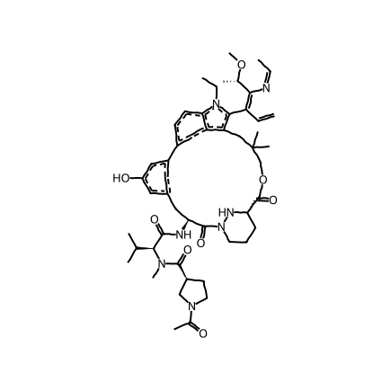 C=C/C(=C(\N=C/C)[C@H](C)OC)c1c2c3cc(ccc3n1CC)-c1cc(O)cc(c1)C[C@H](NC(=O)[C@H](C(C)C)N(C)C(=O)[C@H]1CCN(C(C)=O)C1)C(=O)N1CCC[C@](C=O)(COCC(C)(C)C2)N1